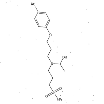 CCCS(=O)(=O)CCCN(CCCOc1ccc(C#N)cc1)C(C)O